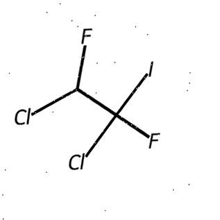 FC(Cl)C(F)(Cl)I